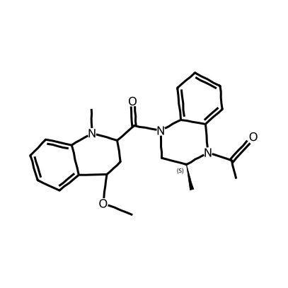 COC1CC(C(=O)N2C[C@H](C)N(C(C)=O)c3ccccc32)N(C)c2ccccc21